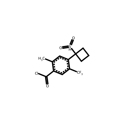 Cc1cc(C2([SH](=O)=O)CCC2)c(C(F)(F)F)cc1C(=O)Cl